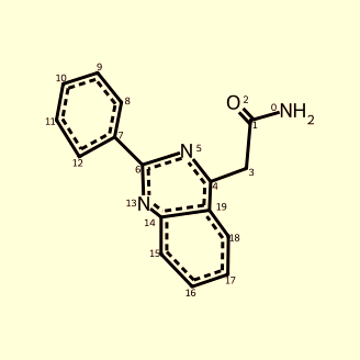 NC(=O)Cc1nc(-c2ccccc2)nc2ccccc12